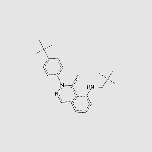 CC(C)(C)CNc1cccc2cnn(-c3ccc(C(C)(C)C)cc3)c(=O)c12